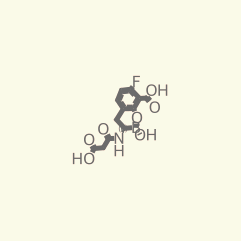 O=C(O)CC(=O)N[C@H]1Cc2ccc(F)c(C(=O)O)c2OB1O